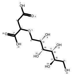 O=C(O)CC(OC[C@H](O)[C@@H](O)[C@H](O)[C@H](O)CO)C(=O)O